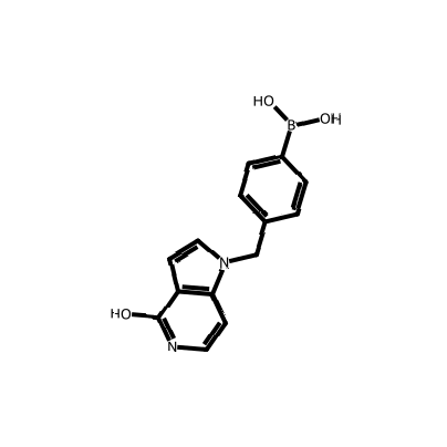 OB(O)c1ccc(Cn2ccc3c(O)nccc32)cc1